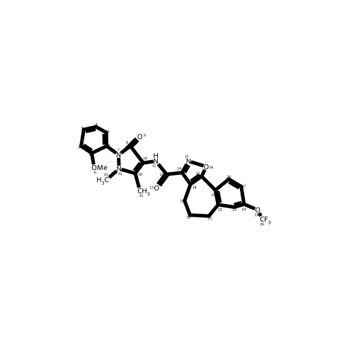 COc1ccccc1-n1c(=O)c(NC(=O)c2noc3c2CCCc2cc(OC(F)(F)F)ccc2-3)c(C)n1C